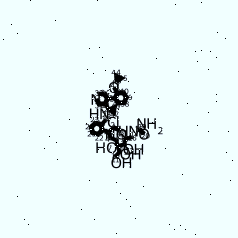 C=C(Cl)C(CC[C@@](O)([C@H](O)CO)[C@H](O)[C@@H](O)CNC(N)=O)c1ccccc1CNC1(c2cnccc2-c2ccccc2OC2CC2)CC1